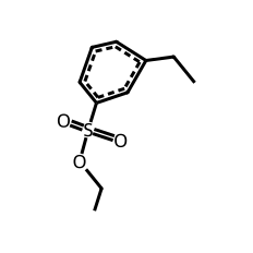 CCOS(=O)(=O)c1cccc(CC)c1